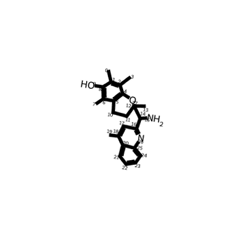 Cc1c(C)c2c(c(C)c1O)CCC(C)(C(N)c1cc(C)c3ccccc3n1)O2